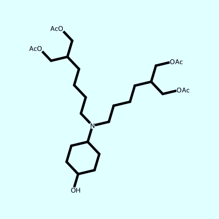 CC(=O)OCC(CCCCN(CCCCC(COC(C)=O)COC(C)=O)C1CCC(O)CC1)COC(C)=O